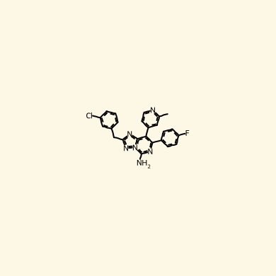 Cc1cc(-c2c(-c3ccc(F)cc3)nc(N)n3nc(Cc4cccc(Cl)c4)nc23)ccn1